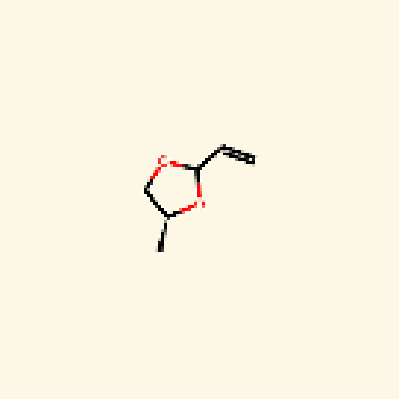 C=CC1OC[C@H](C)O1